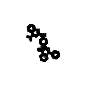 CN(C)c1cc(N[C@H]2CC[C@@H](NC(=O)C3CCCC[C@H]3C(=O)c3ccccc3)CC2)nc2ccccc12